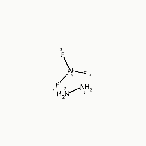 NN.[F][Al]([F])[F]